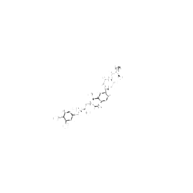 O=C(Cn1cnc2ccc(N3CCN(C[SH](=O)=O)CC3)cc2c1=O)NCc1ccc(Cl)c(Cl)c1